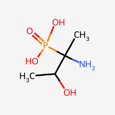 CC(O)C(C)(N)P(=O)(O)O